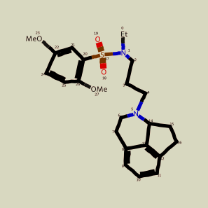 CCN(CCCN1CCc2cccc3c2C1CC3)S(=O)(=O)c1cc(OC)ccc1OC